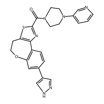 O=C(c1nc2c(s1)CCOc1cc(-c3cn[nH]c3)ccc1-2)N1CCN(c2cccnc2)CC1